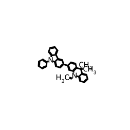 C=CN1c2ccccc2C(C)(C)c2ccc(-c3ccc4c(c3)c3ccccc3n4-c3ccccc3)cc21